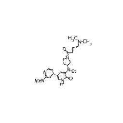 CCN(c1cc(-c2ccnc(NC)c2)c[nH]c1=O)[C@H]1CCN(C(=O)/C=C/CN(C)C)C1